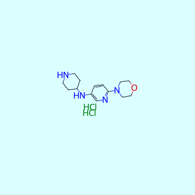 Cl.Cl.c1cc(N2CCOCC2)ncc1NC1CCNCC1